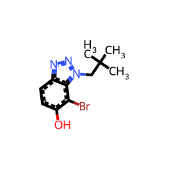 CC(C)(C)Cn1nnc2ccc(O)c(Br)c21